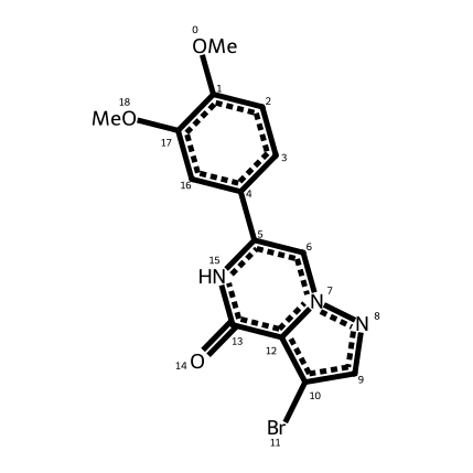 COc1ccc(-c2cn3ncc(Br)c3c(=O)[nH]2)cc1OC